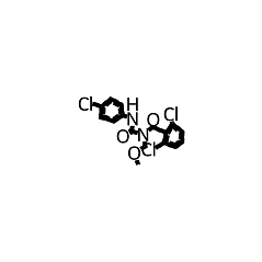 COCN(C(=O)Nc1ccc(Cl)cc1)C(=O)c1c(Cl)cccc1Cl